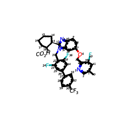 Cc1cnc(COc2ccc3nc([C@@H]4CCCC[C@@H]4C(=O)O)n(Cc4c(F)cc(-c5ccc(C(F)(F)F)cc5)cc4F)c3c2)c(F)c1